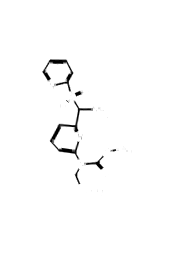 CC(C)(C)OC(=O)N(CC(=O)O)c1cccc(C(N)S(=O)(=O)c2ccccn2)n1